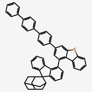 c1ccc(-c2ccc(-c3ccc(-c4cc(-c5cccc6c5-c5ccccc5C65C6CC7CC(C6)CC5C7)c5c(c4)sc4ccccc45)cc3)cc2)cc1